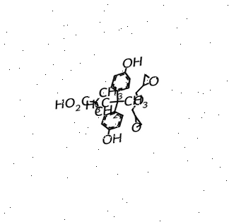 C(OCC1CO1)C1CO1.C=C(C)C(=O)O.CC(C)(c1ccc(O)cc1)c1ccc(O)cc1